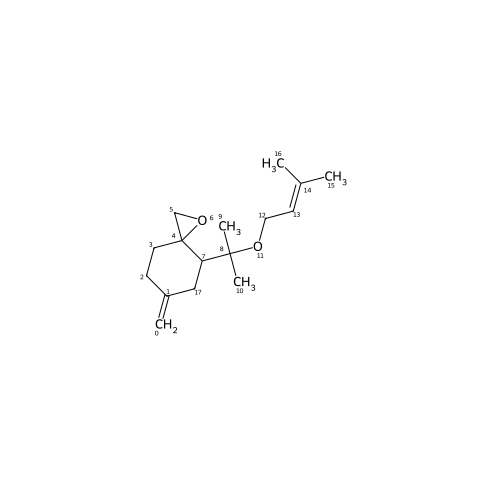 C=C1CCC2(CO2)C(C(C)(C)OCC=C(C)C)C1